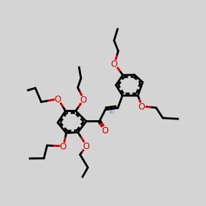 CCCOc1ccc(OCCC)c(/C=C/C(=O)c2c(OCCC)c(OCCC)cc(OCCC)c2OCCC)c1